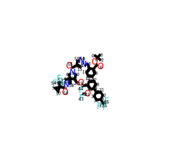 CC(C)(C)OC(=O)c1ccccc1Cn1cc(C(=O)N2CC(COCc3cccc(C4=CCC(C(F)(F)F)CC4)c3OC(F)F)C3(C2)CN(C(=O)C2(C(F)(F)F)CC2)C3)cn1